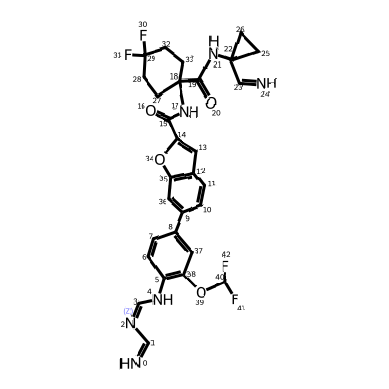 N=C/N=C\Nc1ccc(-c2ccc3cc(C(=O)NC4(C(=O)NC5(C=N)CC5)CCC(F)(F)CC4)oc3c2)cc1OC(F)F